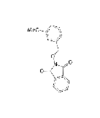 COc1cccc(CON2C(=O)c3ccccc3C2=O)c1